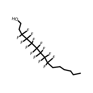 CCCCCCC(F)(F)C(F)(F)C(F)(F)C(F)(F)C(F)(F)C(F)(F)C(F)(F)CCO